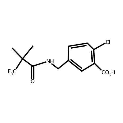 CC(C)(C(=O)NCc1ccc(Cl)c(C(=O)O)c1)C(F)(F)F